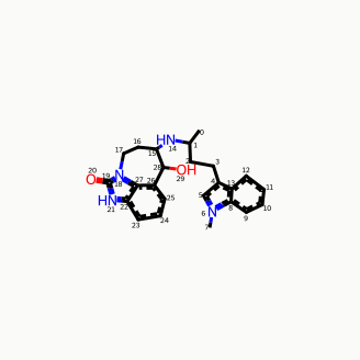 CC(CCc1cn(C)c2ccccc12)NC1CCn2c(=O)[nH]c3cccc(c32)C1O